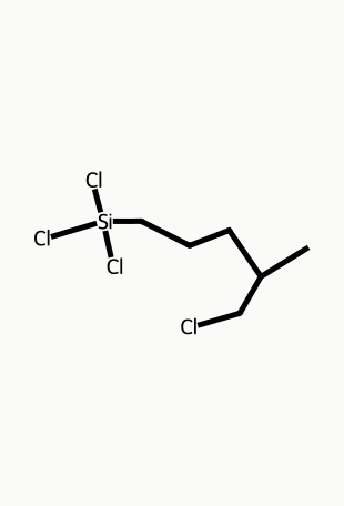 CC(CCl)CCC[Si](Cl)(Cl)Cl